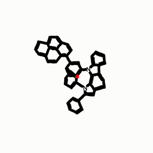 c1ccc(-c2cc3ccc4c5ccccc5n(-c5cccc(-c6ccc7ccc8cccc9ccc6c7c89)c5)c4c3n2-c2ccccc2)cc1